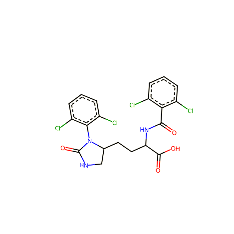 O=C(NC(CCC1CNC(=O)N1c1c(Cl)cccc1Cl)C(=O)O)c1c(Cl)cccc1Cl